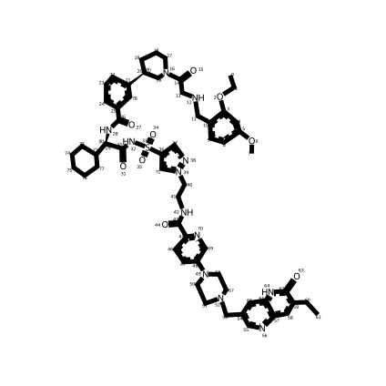 CCOc1cc(OC)ccc1CNCC(=O)N1CCC[C@H](c2cccc(C(=O)N[C@@H](C(=O)NS(=O)(=O)c3cnn(CCNC(=O)c4ccc(N5CCN(Cc6cnc7cc(CC)c(=O)[nH]c7c6)CC5)cn4)c3)C3CCCCC3)c2)C1